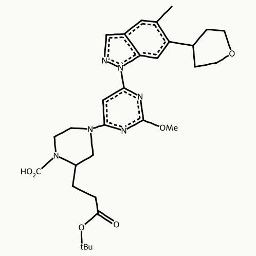 COc1nc(N2CCN(C(=O)O)C(CCC(=O)OC(C)(C)C)C2)cc(-n2ncc3cc(C)c(C4CCOCC4)cc32)n1